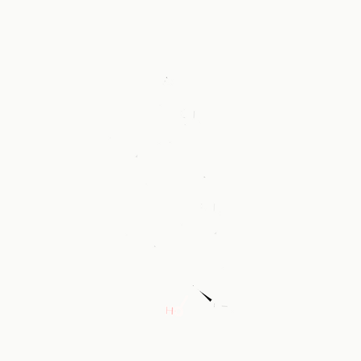 CC(=O)[C@H]1CCC2C3CCC4C[C@@](C)(O)CC[C@]4(C)C3CC[C@@]21C